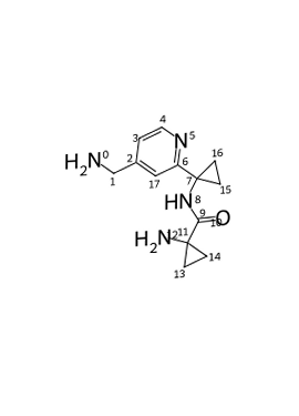 NCc1ccnc(C2(NC(=O)C3(N)CC3)CC2)c1